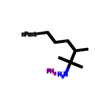 CCCCCCCCC(C)C(C)(C)N.P